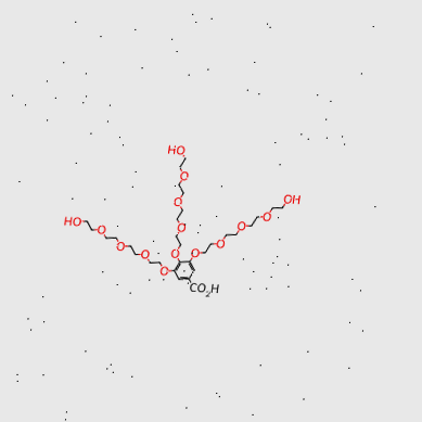 O=C(O)c1cc(OCCOCCOCCOCCO)c(OCCOCCOCCOCCO)c(OCCOCCOCCOCCO)c1